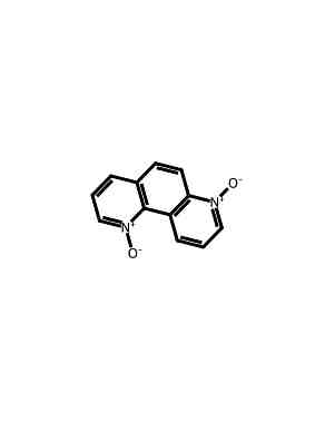 [O-][n+]1cccc2c1ccc1ccc[n+]([O-])c12